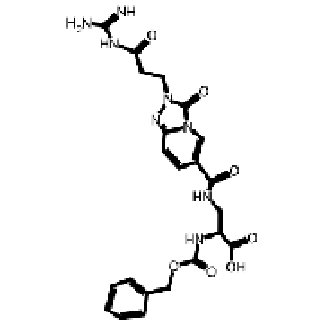 N=C(N)NC(=O)CCn1nc2ccc(C(=O)NCC(NC(=O)OCc3ccccc3)C(=O)O)cn2c1=O